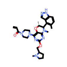 C=CC(=O)N1CCN(c2nc(OCC3CCCN3C)nc3c2O[C@H](C)C(c2c(C)ccc4[nH]ncc24)N3C)CC1